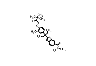 CCC(CC)(c1ccc(OCC(=O)C(C)(C)C)c(C)c1)c1cc2ccc(C(=O)N(C)C)cc2s1